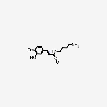 CCc1ccc(/C=C/C(=C=O)NCCCCN)cc1O